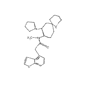 CN(C(=O)Cc1cccc2sccc12)C1CCC2(CCCO2)CC1N1CCCC1